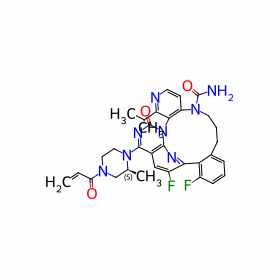 C=CC(=O)N1CCN(c2nc(=O)n3c4nc(c(F)cc24)-c2c(F)cccc2CCCN(C(N)=O)c2ccnc(C(C)C)c2-3)[C@@H](C)C1